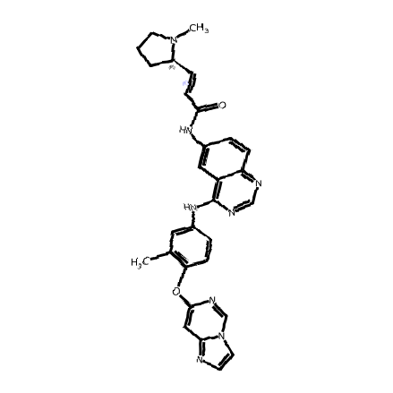 Cc1cc(Nc2ncnc3ccc(NC(=O)/C=C/[C@H]4CCCN4C)cc23)ccc1Oc1cc2nccn2cn1